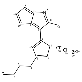 CCCCC1=CCC(C2=C3C=CC=C3N=C2C)=C1.[Cl-].[Cl-].[Zr+2]